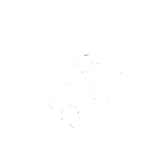 CCC1OC(=O)NN=C1c1ccc(OC)c(OC2CCCC2)c1.Nc1c#cccc1